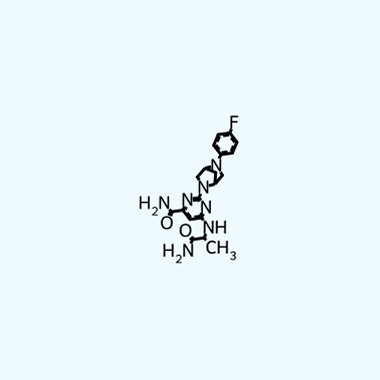 CC(Nc1cc(C(N)=O)nc(N2CC3CC2CN3c2ccc(F)cc2)n1)C(N)=O